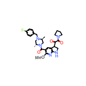 COc1nc2c(cc1C(=O)N1C[C@H](C)N(Cc3ccc(F)cc3)C[C@H]1C)C(C(=O)C(=O)N1CCCC1)CN2